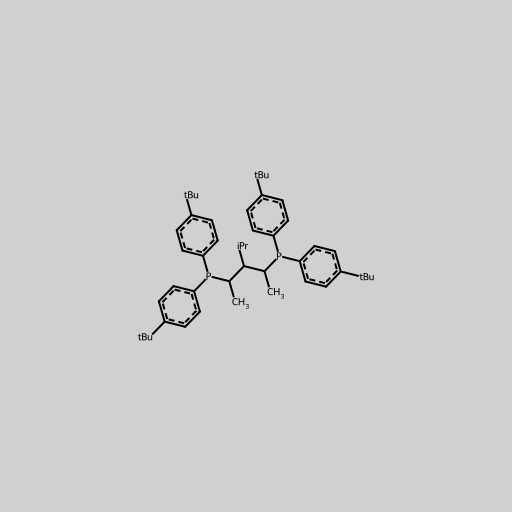 CC(C)C(C(C)P(c1ccc(C(C)(C)C)cc1)c1ccc(C(C)(C)C)cc1)C(C)P(c1ccc(C(C)(C)C)cc1)c1ccc(C(C)(C)C)cc1